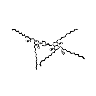 CCCCCCCCCCC(CN(CCN1CCN(CCN(CC(CCCCCCCCCC)N=O)CC(CCCCCCCCCC)N=O)CC1)CCN(CC(CCCCCCCCCC)N=O)CC(CCCCCCCCCC)N=O)N=O